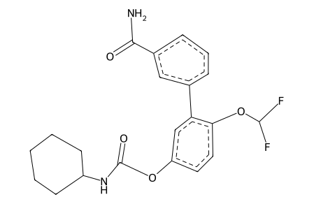 NC(=O)c1cccc(-c2cc(OC(=O)NC3CCCCC3)ccc2OC(F)F)c1